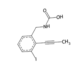 CC#Cc1c(I)cccc1CNC(=O)O